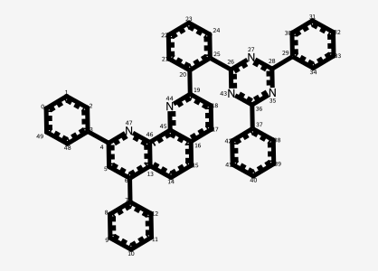 c1ccc(-c2cc(-c3ccccc3)c3ccc4ccc(-c5ccccc5-c5nc(-c6ccccc6)nc(-c6ccccc6)n5)nc4c3n2)cc1